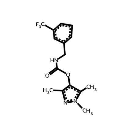 Cc1nn(C)c(C)c1OC(=O)NCc1cccc(C(F)(F)F)c1